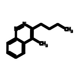 CCCCc1nnc2ccccc2c1C